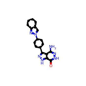 Nc1n[nH]c(=O)c2[nH]nc(-c3ccc(-n4cc5ccccc5n4)cc3)c12